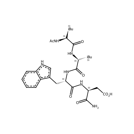 CC[C@H](C)[C@H](NC(C)=O)C(=O)N[C@H](C(=O)N[C@@H](Cc1c[nH]c2ccccc12)C(=O)N[C@@H](CC(=O)O)C(N)=O)[C@@H](C)CC